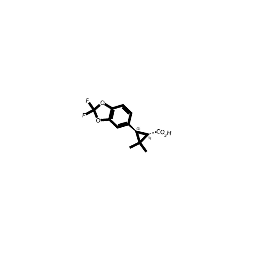 CC1(C)[C@@H](C(=O)O)[C@@H]1c1ccc2c(c1)OC(F)(F)O2